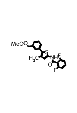 COOCc1cccc(-c2sc(NC(=O)c3c(F)cccc3F)cc2C)c1